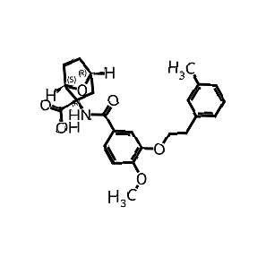 COc1ccc(C(=O)N[C@]2(C(=O)O)C[C@H]3CC[C@@H]2O3)cc1OCCc1cccc(C)c1